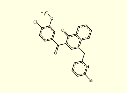 COc1cc(C(=O)c2cn(Cc3cccc(Br)n3)c3ccccc3c2=O)ccc1Cl